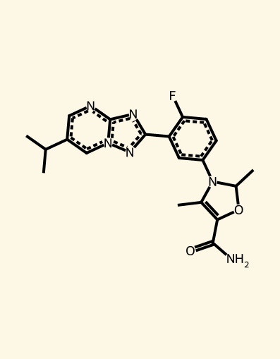 CC1=C(C(N)=O)OC(C)N1c1ccc(F)c(-c2nc3ncc(C(C)C)cn3n2)c1